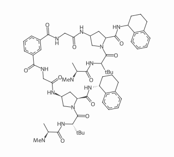 CN[C@@H](C)C(=O)NC(C(=O)N1CC(NC(=O)CNC(=O)c2cccc(C(=O)NCC(=O)N[C@H]3C[C@@H](C(=O)N[C@@H]4CCCc5ccccc54)N(C(=O)[C@@H](NC(=O)[C@H](C)NC)C(C)(C)C)C3)c2)CC1C(=O)NC1CCCc2ccccc21)C(C)(C)C